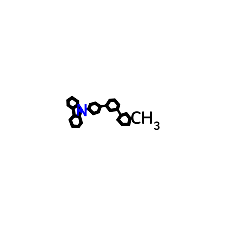 Cc1cccc(-c2cccc(-c3ccc(-n4c5ccccc5c5ccccc54)cc3)c2)c1